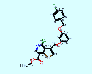 CCOC(=O)c1cnc(Cl)c2c(COc3cccc(OCc4ccc(F)cc4)c3)csc12